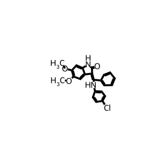 COc1cc2c(cc1OC)C(=C(Nc1ccc(Cl)cc1)c1ccccc1)C(=O)N2